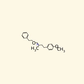 COc1ccc(CC/C(C)=C/OCCc2ccccc2)cc1